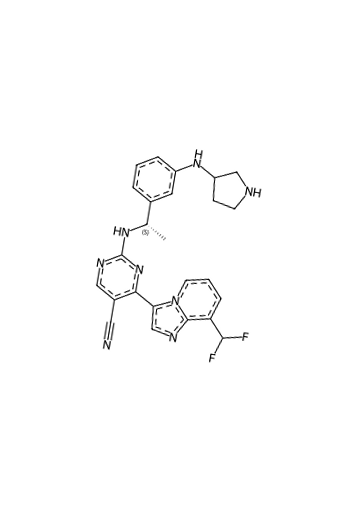 C[C@H](Nc1ncc(C#N)c(-c2cnc3c(C(F)F)cccn23)n1)c1cccc(NC2CCNC2)c1